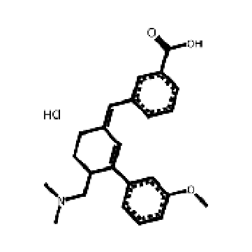 COc1cccc(C2=C/C(=C\c3cccc(C(=O)O)c3)CCC2CN(C)C)c1.Cl